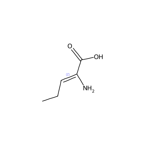 CC/C=C(\N)C(=O)O